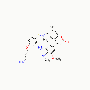 CNc1c(N)cc(C(CC(=O)O)c2ccc(C)c(CN(C)Sc3ccc(OCCCN)cc3)c2)cc1OC